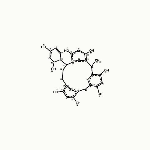 CC1c2cc(c(O)cc2O)Cc2cc(c(O)cc2O)CCC(C2C=CC(O)=CC2O)c2cc1c(O)cc2O